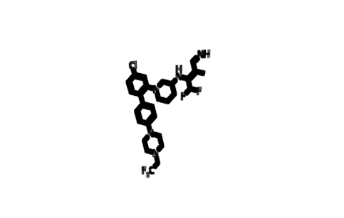 C/C(C=N)=C(/NC1CCCN(c2cc(Cl)ccc2-c2ccc(N3CCN(CC(F)(F)F)CC3)cc2)C1)C(F)F